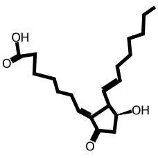 CCCCCC/C=C/C1/C(=C\CCCCCC(=O)O)C(=O)C[C@@H]1O